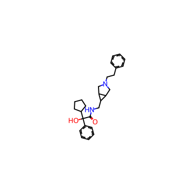 O=C(NCC1C2CN(CCc3ccccc3)CC12)C(O)(c1ccccc1)C1CCCC1